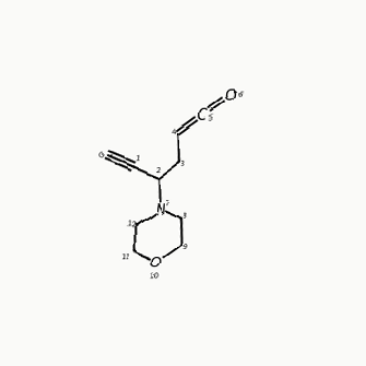 [C]#CC(CC=C=O)N1CCOCC1